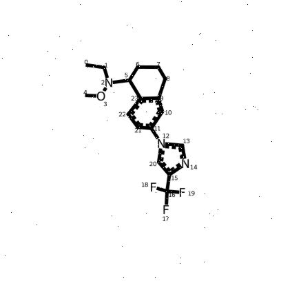 CCN(OC)C1CCCc2cc(-n3cnc(C(F)(F)F)c3)ccc21